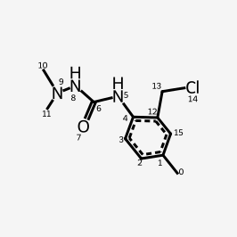 Cc1ccc(NC(=O)NN(C)C)c(CCl)c1